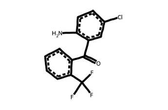 Nc1ccc(Cl)cc1C(=O)c1ccccc1C(F)(F)F